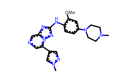 COc1cc(N2CCN(C)CC2)ccc1Nc1nc2cncc(-c3cnn(C)c3)n2n1